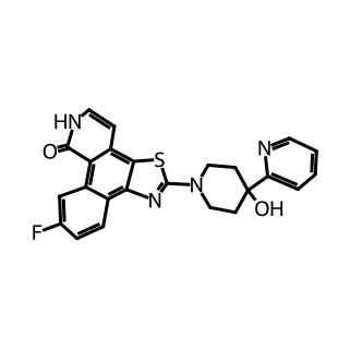 O=c1[nH]ccc2c3sc(N4CCC(O)(c5ccccn5)CC4)nc3c3ccc(F)cc3c12